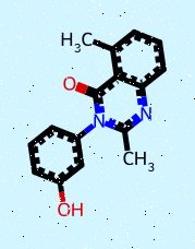 Cc1cccc2nc(C)n(-c3cccc(O)c3)c(=O)c12